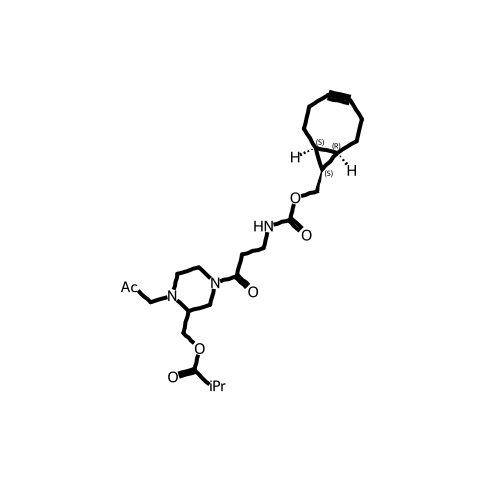 CC(=O)CN1CCN(C(=O)CCNC(=O)OC[C@@H]2[C@@H]3CCC#CCC[C@@H]32)CC1COC(=O)C(C)C